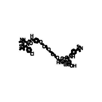 Cc1ncsc1-c1ccc(CNC(=O)[C@@H]2C[C@@H](O)CN2C(=O)[C@@H](NC(=O)COCCOCCOCCOCCOc2ccc(NC(=O)C[C@@H]3N=C(c4ccc(Cl)cc4)c4c(sc(C)c4C)-n4c(C)nnc43)cc2)C(C)(C)C)cc1